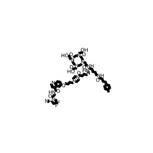 Cc1ccc(CCCC(=O)NCCCCC(N/N=C\CCC(=O)N2CCN(CCCCOc3ccc4nccc(C(=O)NCC(=O)N5CC(F)(F)C[C@@H]5C#N)c4c3)CC2)NC(=O)CN2CCN(CC(=O)O)CCN(CC(=O)O)CCN(CC(=O)O)CC2)cc1